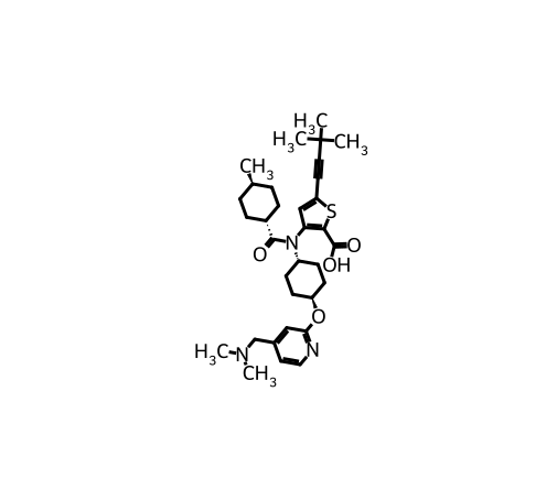 CN(C)Cc1ccnc(O[C@H]2CC[C@H](N(c3cc(C#CC(C)(C)C)sc3C(=O)O)C(=O)[C@H]3CC[C@H](C)CC3)CC2)c1